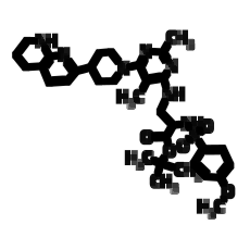 COc1ccc(S(=O)(=O)NC(CNc2nc(C)nc(N3CCC(c4ccc5c(n4)NCCC5)CC3)c2C)C(=O)OC(C)(C)C)cc1